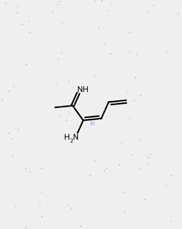 C=C/C=C(/N)C(C)=N